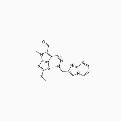 CSc1nc2c(s1)c(/C=N\N(C)Cc1cn3cccnc3n1)c(C=O)n2C